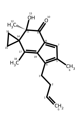 C=CCCC1=C(C)C=C2C(=O)[C@](C)(O)C3(CC3)C(C)=C21